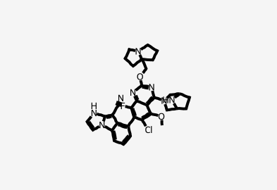 COc1c(Cl)c(-c2cccc3c2c(C#N)c2[nH]ccn23)c(F)c2nc(OCC34CCCN3CCC4)nc(N3CC4CCC(C3)N4)c12